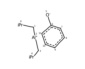 CC(C)[CH2][Al+][CH2]C(C)C.[O-]c1ccccc1